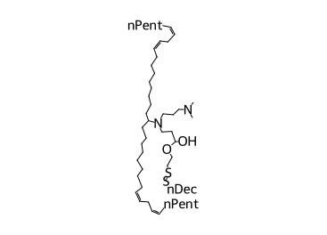 CCCCC/C=C\C/C=C\CCCCCCCCC(CCCCCCCC/C=C\C/C=C\CCCCC)N(CCCN(C)C)CCC(O)OCCSSCCCCCCCCCC